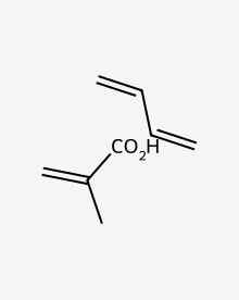 C=C(C)C(=O)O.C=CC=C